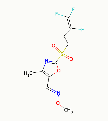 CON=Cc1oc(S(=O)(=O)CCC(F)=C(F)F)nc1C